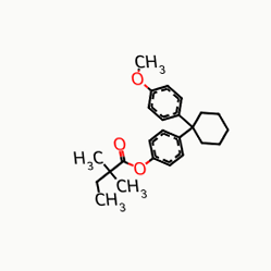 CCC(C)(C)C(=O)Oc1ccc(C2(c3ccc(OC)cc3)CCCCC2)cc1